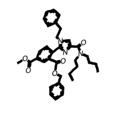 CCCCN(CCCC)C(=O)c1cn(CCc2ccccc2)c(-c2ccc(C(=O)OC)cc2C(=O)OCc2ccccc2)n1